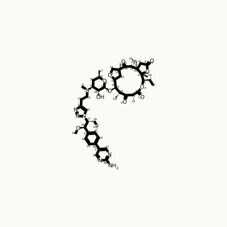 CC[C@H]1OC(=O)[C@H](C)C(=O)[C@H](I)[C@@H](O[C@@H]2O[C@H](C)C[C@H](N(C)CCc3cn([C@H](CF)[C@H](OC)c4ccc(-c5cnc(N)nc5)cc4)nn3)[C@H]2O)[C@@]2(C)C[C@@H](CO2)C(=O)[C@H](C)[C@H]2CC(=O)O[C@@]21C